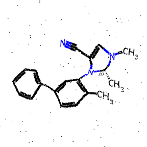 Cc1ccc(-c2ccccc2)cc1N1C(C#N)=CN(C)[C@@H]1C